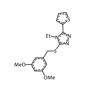 CCn1c(SCc2cc(OC)cc(OC)c2)nnc1-c1cccs1